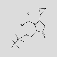 CC(C)(C)[Si](C)(C)OCC1C(=O)CC(C2CC2)N1C(=O)O